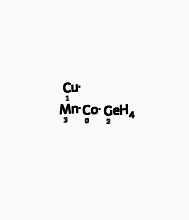 [Co].[Cu].[GeH4].[Mn]